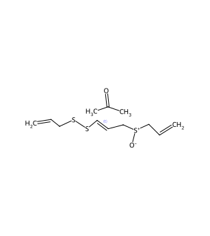 C=CCSS/C=C/C[S+]([O-])CC=C.CC(C)=O